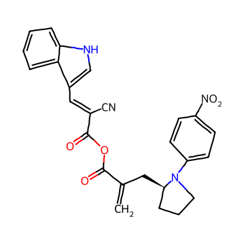 C=C(C[C@@H]1CCCN1c1ccc([N+](=O)[O-])cc1)C(=O)OC(=O)/C(C#N)=C/c1c[nH]c2ccccc12